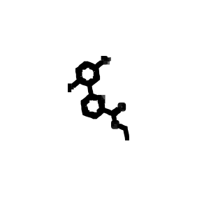 CCOC(=O)c1cccc(-c2cc(Br)ccc2F)n1